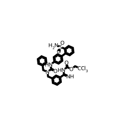 N=C(NC(=O)OCC(Cl)(Cl)Cl)c1cccc(CN(Cc2ccccc2)C(=O)Nc2ccc(-c3ccccc3S(N)(=O)=O)cc2)c1